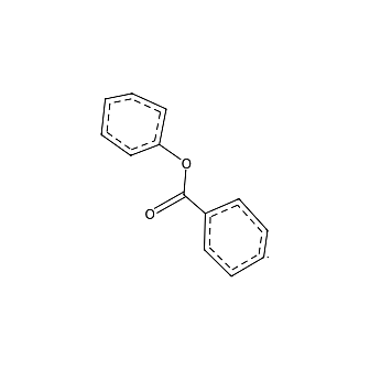 O=C(Oc1ccccc1)c1cc[c]cc1